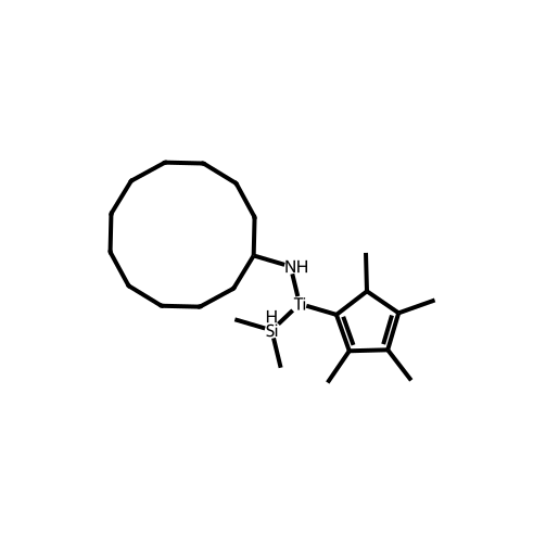 CC1=C(C)C(C)[C]([Ti]([NH]C2CCCCCCCCCCC2)[SiH](C)C)=C1C